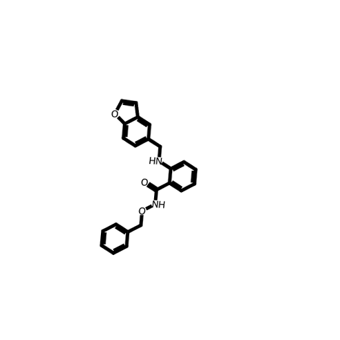 O=C(NOCc1ccccc1)c1ccccc1NCc1ccc2occc2c1